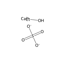 CCO.O=S(=O)([O-])[O-].[Ca+2]